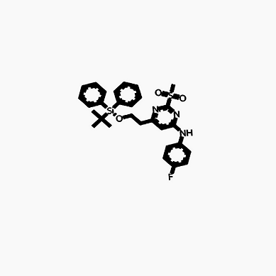 CC(C)(C)[Si](OCCc1cc(Nc2ccc(F)cc2)nc(S(C)(=O)=O)n1)(c1ccccc1)c1ccccc1